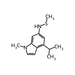 CSNc1cc(C(C)C)c2ccn(C)c2c1